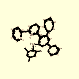 Cc1cc(C)c(Nc2cc(-c3ccccc3)cc(-c3ccccc3)c2-c2cccc(-c3ccccn3)n2)c(C)c1